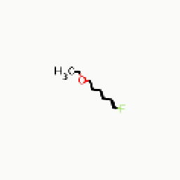 CCOCCCCCCF